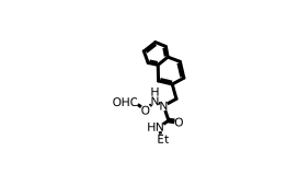 CCNC(=O)N(Cc1ccc2ccccc2c1)NOC=O